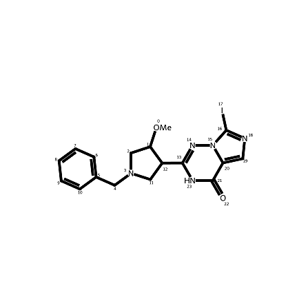 COC1CN(Cc2ccccc2)CC1c1nn2c(I)ncc2c(=O)[nH]1